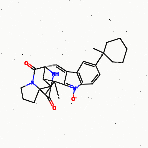 CC1(c2ccc3c(c2)C2=C[C@@]45NC6(C(=O)C67CCCN7C4=O)C5C(C)(C)C2=[N+]3[O-])CCCCC1